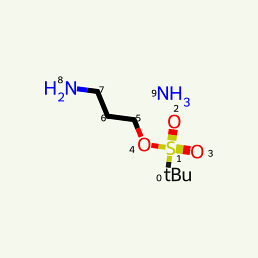 CC(C)(C)S(=O)(=O)OCCCN.N